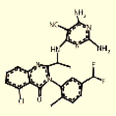 Cc1ccc(C(F)F)cc1-n1c(C(C)Nc2nc(N)nc(N)c2C#N)nc2cccc(Cl)c2c1=O